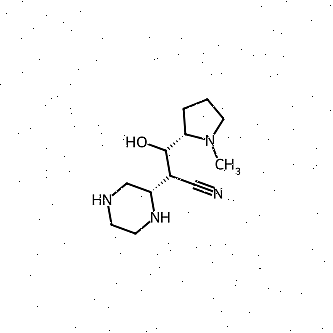 CN1CCC[C@H]1C(O)C(C#N)[C@H]1CNCCN1